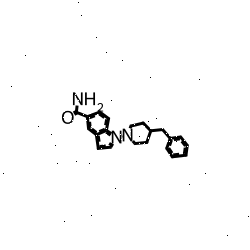 NC(=O)c1ccc2c(ccn2N2CCC(Cc3ccccc3)CC2)c1